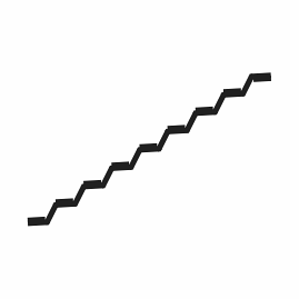 C=C/C=C/C=C/C=C/C=C/C=C/C=C/C=C/C=C